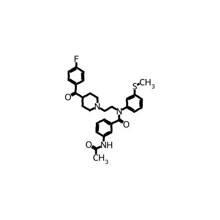 CSc1cccc(N(CCN2CCC(C(=O)c3ccc(F)cc3)CC2)C(=O)c2cccc(NC(C)=O)c2)c1